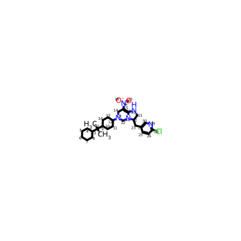 CC(C)(C1CCCCC1)C1CCC(N2CC([N+](=O)[O-])=C3NCC(Cc4ccc(Cl)nc4)N3C2)CC1